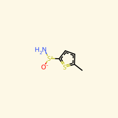 Cc1ccc([S+](N)[O-])s1